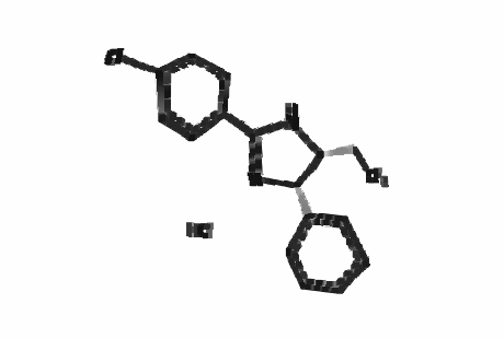 Cl.FC(F)(F)C[C@H]1NC(c2ccc(Cl)cc2)=N[C@H]1c1ccccc1